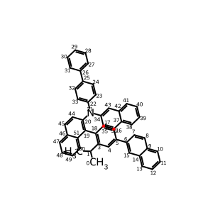 CC(C)c1cc(-c2ccc3ccccc3c2)ccc1-c1c(N(c2ccc(-c3ccccc3)cc2)c2ccc3ccccc3c2)ccc2ccccc12